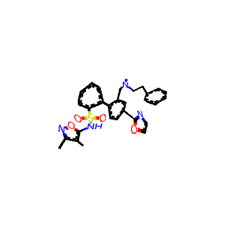 Cc1noc(NS(=O)(=O)c2ccccc2-c2ccc(-c3ncco3)cc2CN(C)CCc2ccccc2)c1C